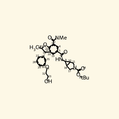 CNC(=O)c1cc(C(=O)NC2C3CN(C(=O)OC(C)(C)C)CC32)cc2c1OC(C)[C@H]2c1cccc(OCCO)c1